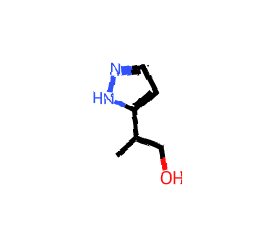 CC(CO)c1c[c]n[nH]1